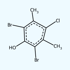 Cc1c(Cl)c(C)c(Br)c(O)c1Br